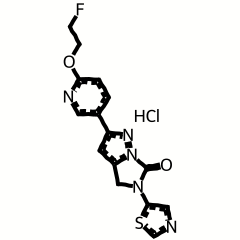 Cl.O=C1N(c2cncs2)Cc2cc(-c3ccc(OCCF)nc3)nn21